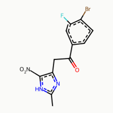 Cc1nc(CC(=O)c2ccc(Br)c(F)c2)c([N+](=O)[O-])[nH]1